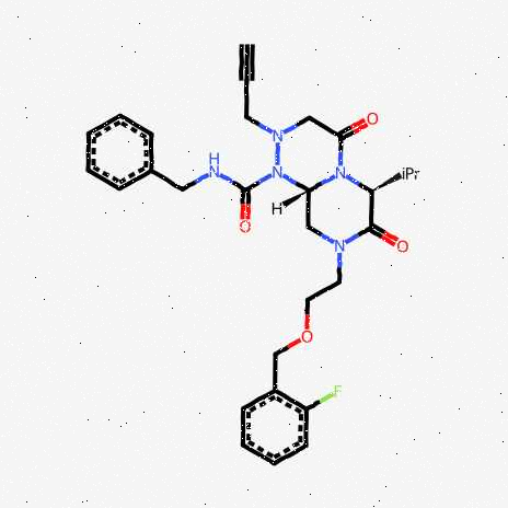 C#CCN1CC(=O)N2[C@@H](C(C)C)C(=O)N(CCOCc3ccccc3F)C[C@@H]2N1C(=O)NCc1ccccc1